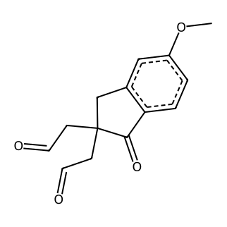 COc1ccc2c(c1)CC(CC=O)(CC=O)C2=O